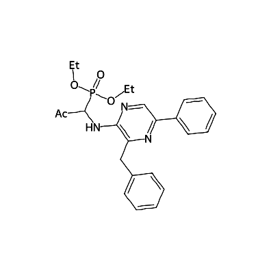 CCOP(=O)(OCC)C(Nc1ncc(-c2ccccc2)nc1Cc1ccccc1)C(C)=O